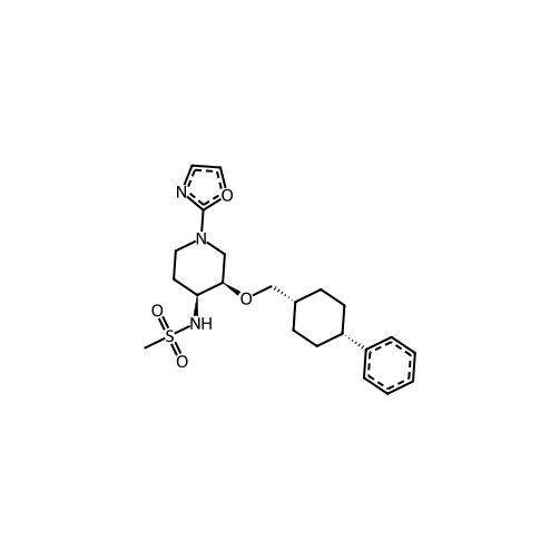 CS(=O)(=O)N[C@H]1CCN(c2ncco2)C[C@H]1OC[C@H]1CC[C@@H](c2ccccc2)CC1